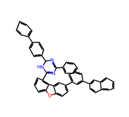 c1ccc(C2=NC(c3ccc(-c4ccccc4)cc3)NC(c3cccc4oc5ccc(-c6cccc(-c7ccc8ccccc8c7)c6)cc5c34)=N2)cc1